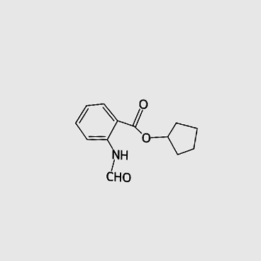 O=CNc1ccccc1C(=O)OC1CCCC1